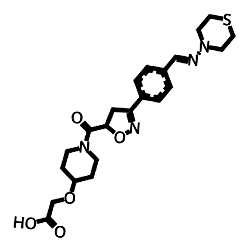 O=C(O)COC1CCN(C(=O)C2CC(c3ccc(C=NN4CCSCC4)cc3)=NO2)CC1